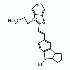 CCN1c2ccc(/C=C/c3sc4ccccc4[n+]3CCC(=O)O)cc2C2CCCC21